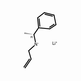 C=CC[N-][C@H](C)c1ccccc1.[Li+]